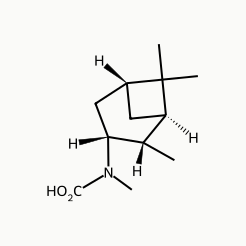 C[C@@H]1[C@H](N(C)C(=O)O)C[C@H]2C[C@H]1C2(C)C